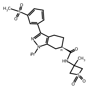 CC(C)n1nc(-c2cccc(S(C)(=O)=O)c2)c2c1C[C@H](C(=O)NC1(C)CS(=O)(=O)C1)CC2